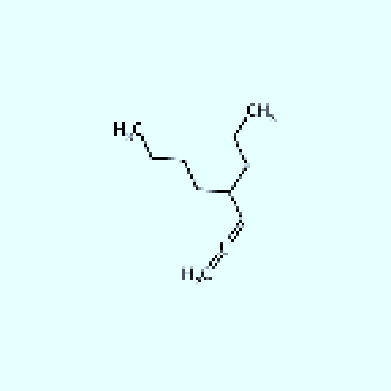 C=C=CC(CCC)CCCC